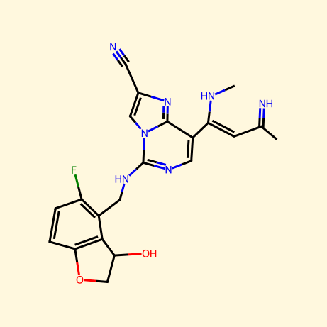 CN/C(=C\C(C)=N)c1cnc(NCc2c(F)ccc3c2C(O)CO3)n2cc(C#N)nc12